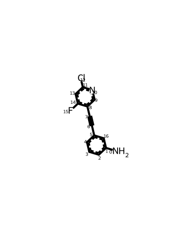 Nc1cccc(C#Cc2cnc(Cl)cc2F)c1